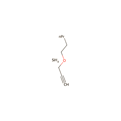 C#CCOCCCCC.[SiH4]